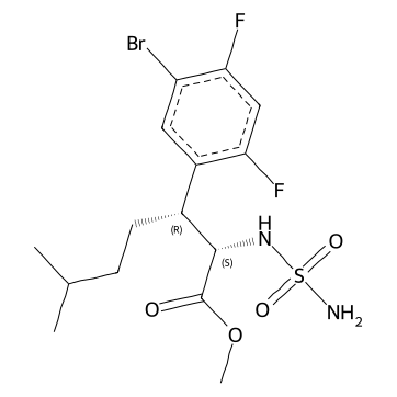 COC(=O)[C@@H](NS(N)(=O)=O)[C@H](CCC(C)C)c1cc(Br)c(F)cc1F